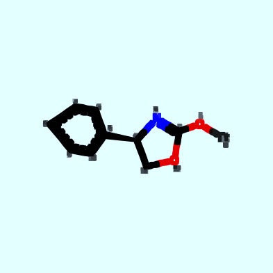 CCOC1=N[C@H](c2ccccc2)CO1